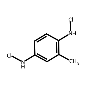 Cc1cc(NCl)ccc1NCl